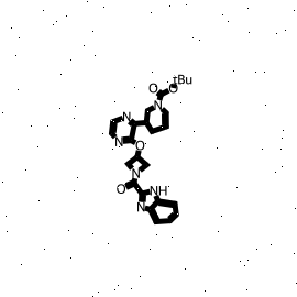 CC(C)(C)OC(=O)N1C=CCC(c2nccnc2OC2CN(C(=O)c3nc4ccccc4[nH]3)C2)C1